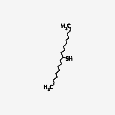 CCCCCCCCCC(S)CCCCCCCCC